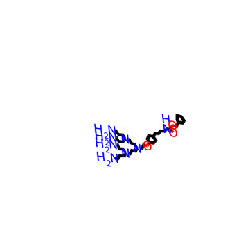 NCCCN(CCCN)CCCN(CCCN(CCCN)CCCN)CCOc1ccc(CCCCNC(=O)OCc2ccccc2)cc1